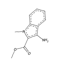 COC(=O)c1c(N)c2ccccc2n1C